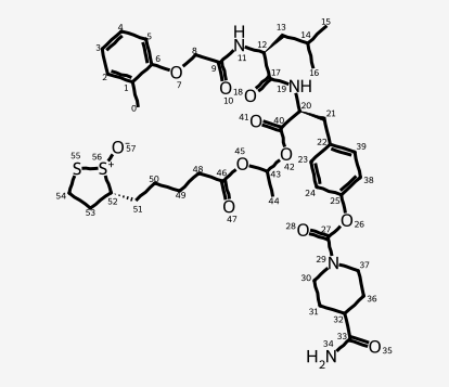 Cc1ccccc1OCC(=O)N[C@@H](CC(C)C)C(=O)N[C@@H](Cc1ccc(OC(=O)N2CCC(C(N)=O)CC2)cc1)C(=O)OC(C)OC(=O)CCCC[C@@H]1CCS[S+]1[O-]